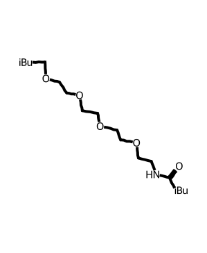 CCC(C)COCCOCCOCCOCCNC(=O)C(C)CC